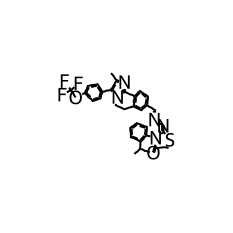 Cc1nc2n(c1-c1ccc(OC(F)(F)F)cc1)CCc1cc(C=NN=C3SCC(=O)N3c3ccccc3C(C)C)ccc1-2